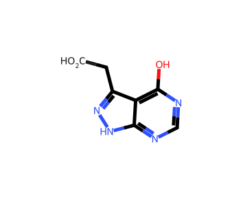 O=C(O)Cc1n[nH]c2ncnc(O)c12